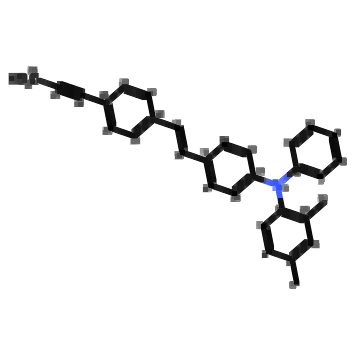 Cc1ccc(N(c2ccccc2)c2ccc(C=Cc3ccc(C#CC(=O)O)cc3)cc2)c(C)c1